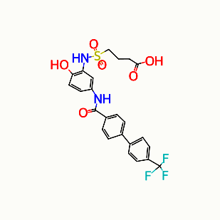 O=C(O)CCCS(=O)(=O)Nc1cc(NC(=O)c2ccc(-c3ccc(C(F)(F)F)cc3)cc2)ccc1O